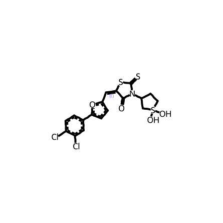 O=C1/C(=C\c2ccc(-c3ccc(Cl)c(Cl)c3)o2)SC(=S)N1C1CCS(O)(O)C1